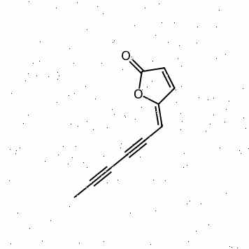 CC#CC#C/C=C1/C=CC(=O)O1